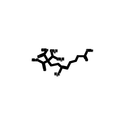 COC(=O)CCCC=C(C)CCC(C(=O)OC)(C(=O)OC)C(C(=O)O)C(=O)O